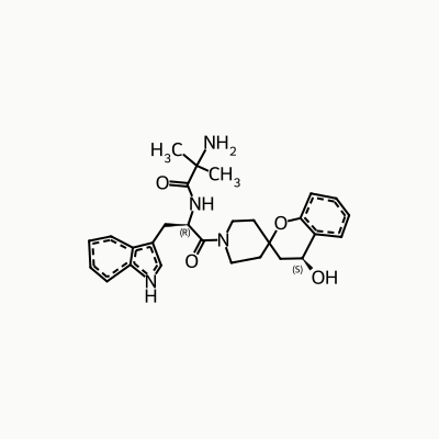 CC(C)(N)C(=O)N[C@H](Cc1c[nH]c2ccccc12)C(=O)N1CCC2(CC1)C[C@H](O)c1ccccc1O2